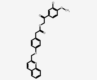 COc1ccc(C(=O)COC(=O)Cc2ccc(OCc3ccc4ccccc4n3)cc2)cc1Cl